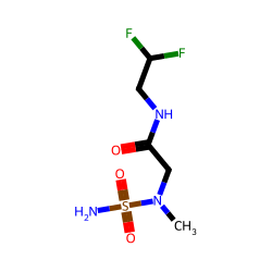 CN(CC(=O)NCC(F)F)S(N)(=O)=O